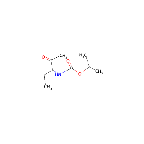 CCC(NC(=O)OC(C)C)C(C)=O